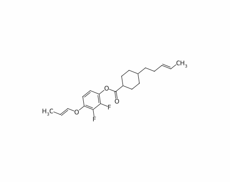 C/C=C/CCC1CCC(C(=O)Oc2ccc(O/C=C/C)c(F)c2F)CC1